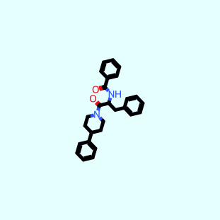 O=C(NC(Cc1ccccc1)C(=O)N1CCC(c2ccccc2)CC1)c1ccccc1